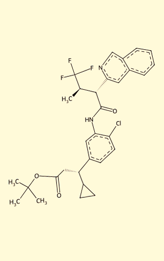 C[C@H]([C@@H](C(=O)Nc1cc([C@@H](CC(=O)OC(C)(C)C)C2CC2)ccc1Cl)c1cc2ccccc2cn1)C(F)(F)F